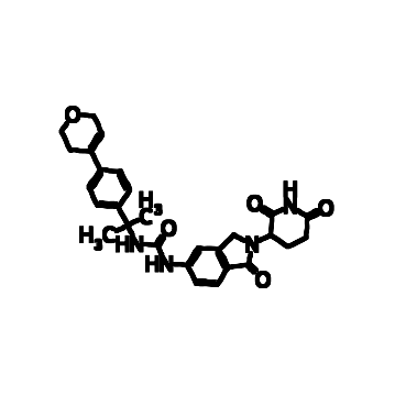 CC(C)(NC(=O)Nc1ccc2c(c1)CN(C1CCC(=O)NC1=O)C2=O)c1ccc(C2=CCOCC2)cc1